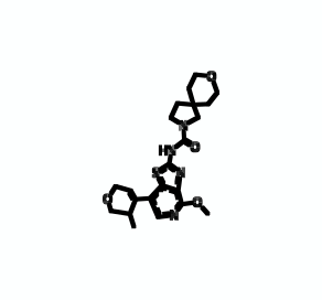 COc1ncc(C2=CCOCC2C)c2sc(NC(=O)N3CCC4(CCOCC4)C3)nc12